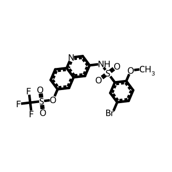 COc1ccc(Br)cc1S(=O)(=O)Nc1cnc2ccc(OS(=O)(=O)C(F)(F)F)cc2c1